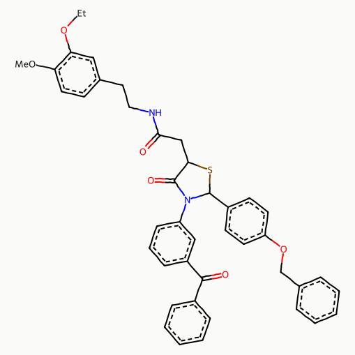 CCOc1cc(CCNC(=O)CC2SC(c3ccc(OCc4ccccc4)cc3)N(c3cccc(C(=O)c4ccccc4)c3)C2=O)ccc1OC